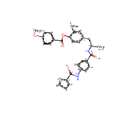 CCCCCCCOc1ccc(C(=O)Oc2ccc(CC(NC(=O)c3ccc(NC(=O)c4cccs4)cc3)C(=O)O)cc2OC)cc1